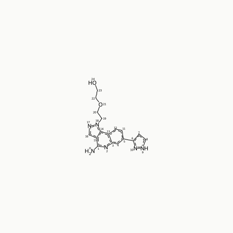 Nc1nc2cc(-c3cc[nH]n3)ccc2c2c1cnn2CCOCCO